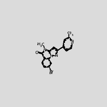 Cn1c(=O)c2ccc(Br)cc2n2nc(-c3ccnc(C(F)(F)F)c3)cc12